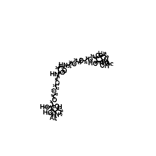 CC(=O)N1CC[C@@H]2OC(COCCOCCOCCNC(=O)/C=C\C(=O)NCCOCCOCCOCC3O[C@H]4CCN(C(C)=O)[C@H]4C(O)C3O)C(O)C(O)[C@@H]21